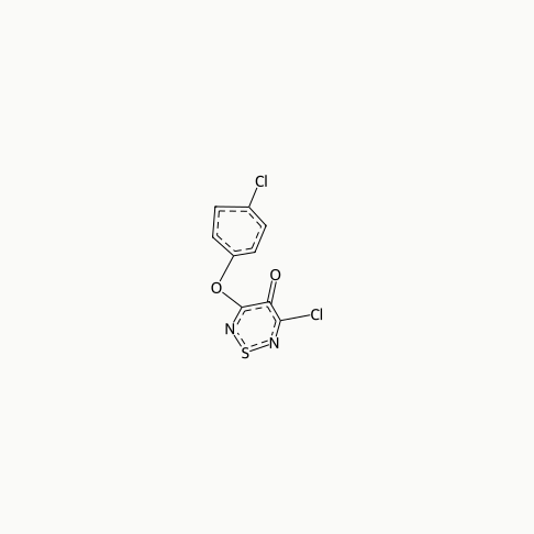 O=c1c(Cl)nsnc1Oc1ccc(Cl)cc1